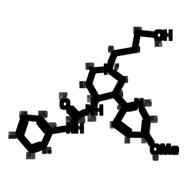 COc1ccc(C2CN(CCCO)CCC2NC(=O)Nc2ccccc2)nc1